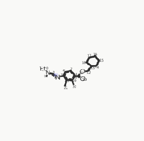 CCN(C)/C=N/c1ccc(C(=O)OCC2CCCCC2)c(C)c1C